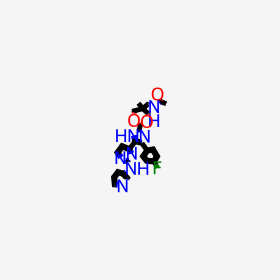 CC(=O)NCC1(C)COC(c2nc(-c3ccc(F)cc3)c(-c3ccnc(Nc4cccnc4)n3)[nH]2)OC1